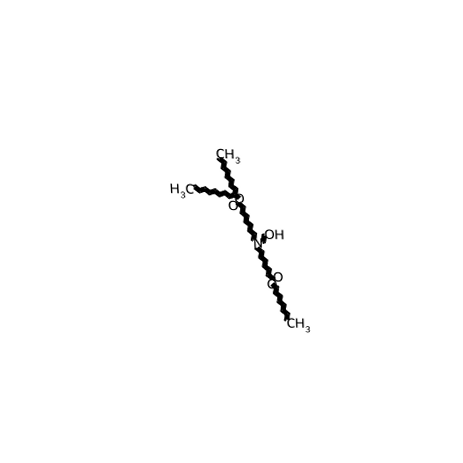 CCCCCCCCCOC(=O)CCCCCCCN(CCO)CCCCCCCCC(=O)OC(CCCCCCCCC)CCCCCCCCC